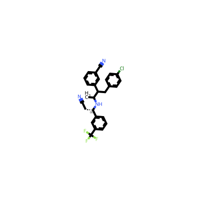 CC(N[C@@H](CC#N)c1cccc(C(F)(F)F)c1)C(Cc1ccc(Cl)cc1)c1cccc(C#N)c1